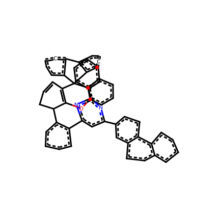 C1=CC2=C(Oc3ccccc3C23c2ccccc2-c2ccccc23)C(c2ccccc2-c2cc(-c3ccc4c(ccc5ccccc54)c3)nc(-c3ccccc3)n2)C1